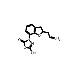 C=CCC1Cc2cccc(-n3nc(O)oc3=O)c2O1